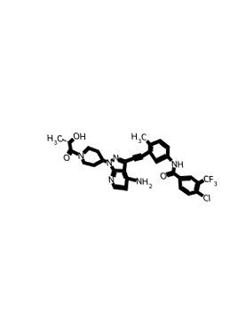 Cc1ccc(NC(=O)c2ccc(Cl)c(C(F)(F)F)c2)cc1C#Cc1nn(C2CCN(C(=O)[C@H](C)O)CC2)c2nccc(N)c12